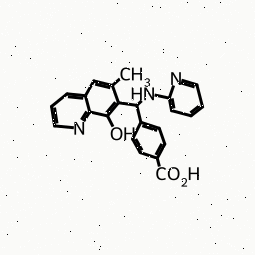 Cc1cc2cccnc2c(O)c1C(Nc1ccccn1)c1ccc(C(=O)O)cc1